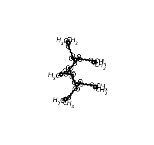 Cc1ccc(C(=O)Oc2cc(C(=O)OCCCOc3cc(C(=O)OCCCCCCOc4ccc(C)c(C)c4)cc(C(=O)OCCCCCCOc4ccc(C)c(C)c4)c3)cc(C(=O)OCCCOc3cc(C(=O)OCCCCCCOc4ccc(C)c(C)c4)cc(C(=O)OCCCCCCOc4ccc(C)c(C)c4)c3)c2)cc1